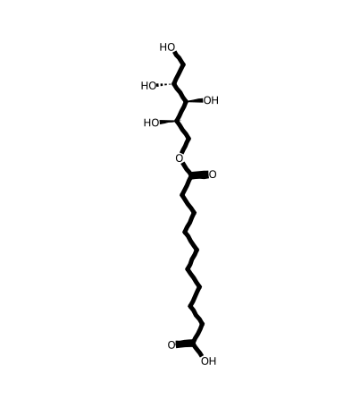 O=C(O)CCCCCCCCC(=O)OC[C@@H](O)[C@H](O)[C@H](O)CO